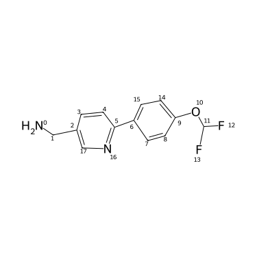 NCc1ccc(-c2ccc(OC(F)F)cc2)nc1